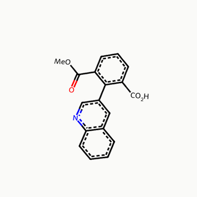 COC(=O)c1cccc(C(=O)O)c1-c1cnc2ccccc2c1